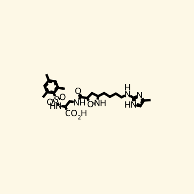 Cc1cc(C)c(S(=O)(=O)NC(CNC(=O)C2CC(CCCCNc3nc(C)c[nH]3)NO2)C(=O)O)c(C)c1